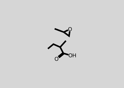 CC1CO1.CCC(C)C(=O)O